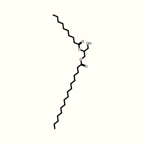 CCCCCCCCCCCCCCCCC(=O)OCC(CO)OC(=O)CCCCCCCCC